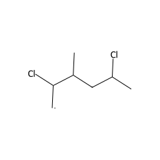 [CH2]C(Cl)C(C)CC(C)Cl